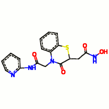 O=C(CC1Sc2ccccc2N(CC(=O)Nc2ccccn2)C1=O)NO